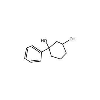 OC1CCCC(O)(c2ccccc2)C1